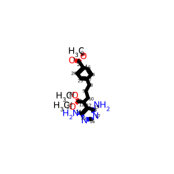 COC(=O)c1ccc(CCCC(c2c(N)ncnc2N)C(OC)OC)cc1